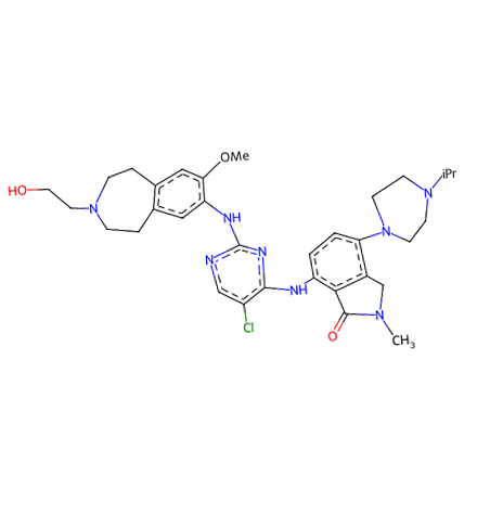 COc1cc2c(cc1Nc1ncc(Cl)c(Nc3ccc(N4CCN(C(C)C)CC4)c4c3C(=O)N(C)C4)n1)CCN(CCO)CC2